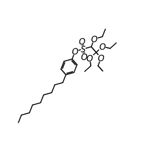 CCCCCCCCCc1ccc(OS(=O)(=O)C(OCC)C(OCC)(OCC)OCC)cc1